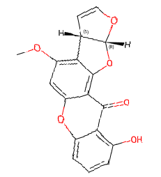 COc1cc2oc3cccc(O)c3c(=O)c2c2c1[C@@H]1C=CO[C@@H]1O2